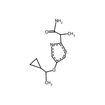 CC(C(N)=O)c1ccc(OC(C)C2CC2)cn1